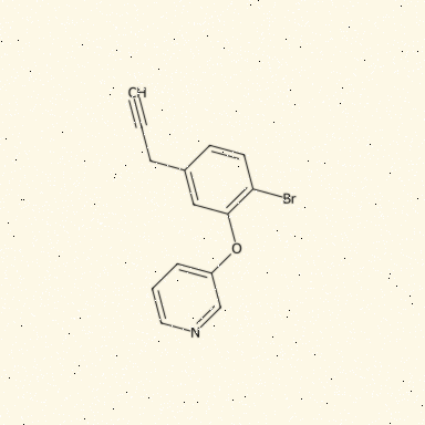 C#CCc1ccc(Br)c(Oc2cccnc2)c1